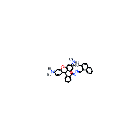 CCN(CC)c1ccc2c(-c3ccccc3/C([O-])=N/N=C/c3c(OC)ccc4ccccc34)c3ccc(=[N+](CC)CC)cc-3oc2c1